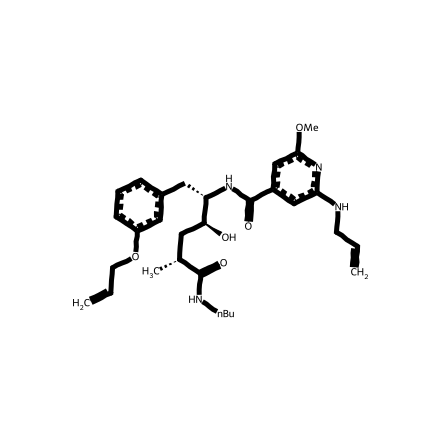 C=CCNc1cc(C(=O)N[C@@H](Cc2cccc(OCC=C)c2)[C@@H](O)C[C@@H](C)C(=O)NCCCC)cc(OC)n1